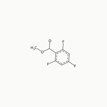 COC([O])c1c(F)cc(F)cc1F